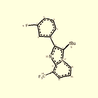 CC(C)(C)c1c(-c2cccc(F)c2)nc2c(C(F)(F)F)cccn12